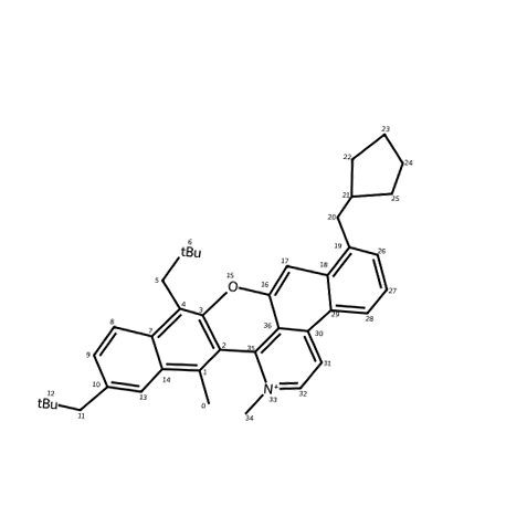 Cc1c2c(c(CC(C)(C)C)c3ccc(CC(C)(C)C)cc13)Oc1cc3c(CC4CCCC4)cccc3c3cc[n+](C)c-2c13